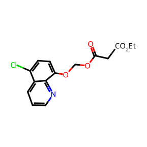 CCOC(=O)CC(=O)OCOc1ccc(Cl)c2cccnc12